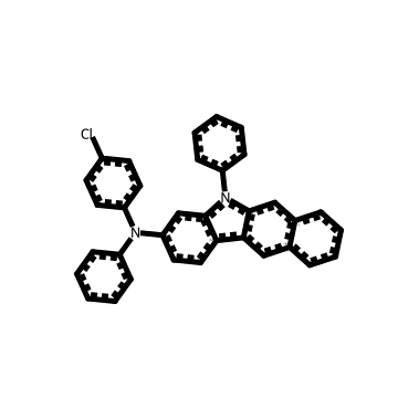 Clc1ccc(N(c2ccccc2)c2ccc3c4cc5ccccc5cc4n(-c4ccccc4)c3c2)cc1